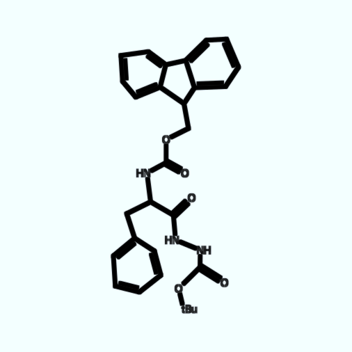 CC(C)(C)OC(=O)NNC(=O)C(Cc1ccccc1)NC(=O)OCC1c2ccccc2-c2ccccc21